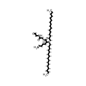 CCCCCCCCCCCCCCCCN(CCCCCCCCCCCCCCCC)C(CCCCN)C(=O)NCC(=O)NC[C]=O